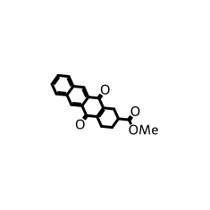 COC(=O)C1CCC2=C(C1)C(=O)c1cc3ccccc3cc1C2=O